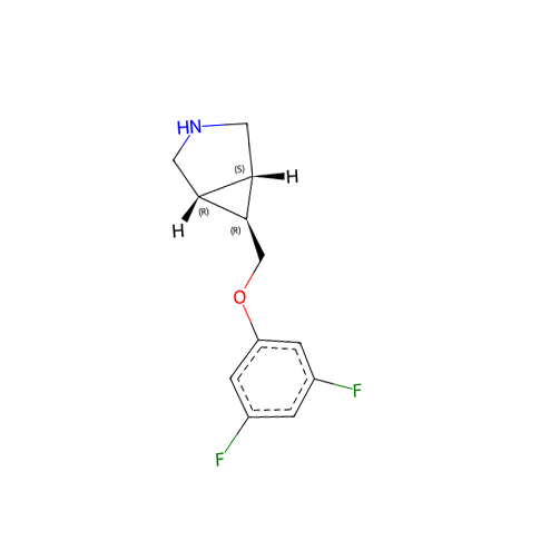 Fc1cc(F)cc(OC[C@H]2[C@@H]3CNC[C@@H]32)c1